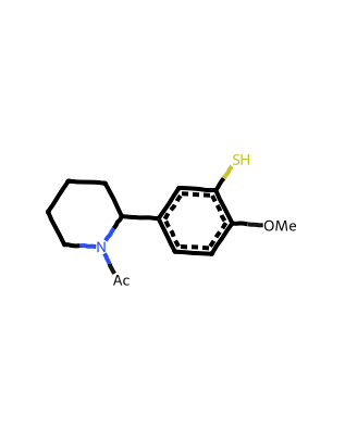 COc1ccc(C2CCCCN2C(C)=O)cc1S